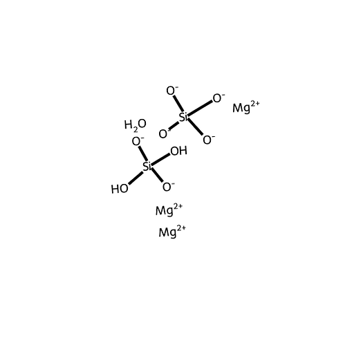 O.[Mg+2].[Mg+2].[Mg+2].[O-][Si]([O-])(O)O.[O-][Si]([O-])([O-])[O-]